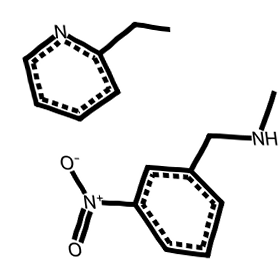 CCc1ccccn1.CNCc1cccc([N+](=O)[O-])c1